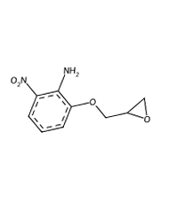 Nc1c(OCC2CO2)cccc1[N+](=O)[O-]